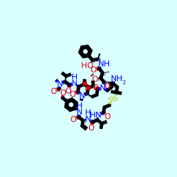 C=C[C@H](NC(=O)[C@@H](NC(=O)CCSSC(C)(C)CC(N)=O)C(C)C)C(=O)Nc1ccc(COC(=O)N(C)[C@H](C(=O)N[C@H](C(=O)N(C)[C@H](CCC(=O)N2CCC[C@H]2[C@H](OC)[C@@H](C)C(=O)N[C@H](C)[C@@H](O)c2ccccc2)[C@@H](C)CC)C(C)C)C(C)C)cc1